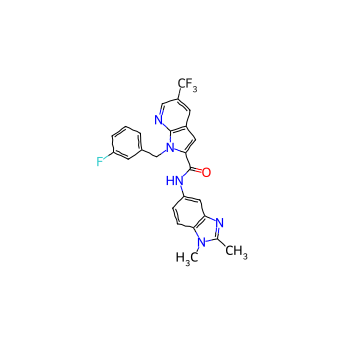 Cc1nc2cc(NC(=O)c3cc4cc(C(F)(F)F)cnc4n3Cc3cccc(F)c3)ccc2n1C